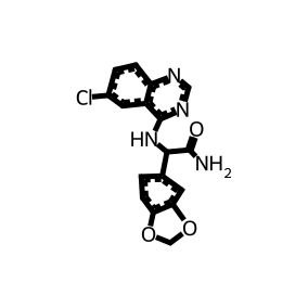 NC(=O)C(Nc1ncnc2ccc(Cl)cc12)c1ccc2c(c1)OCO2